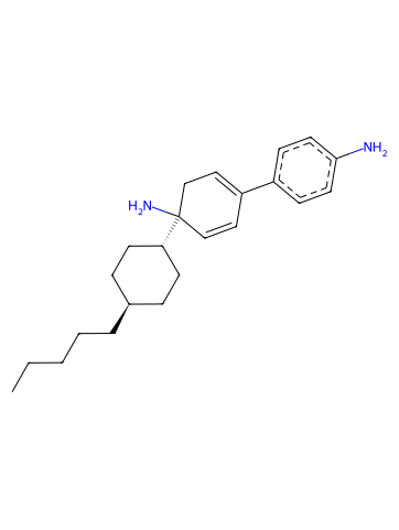 CCCCC[C@H]1CC[C@H](C2(N)C=CC(c3ccc(N)cc3)=CC2)CC1